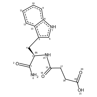 NC(=O)[C@@H](Cc1c[nH]c2ccccc12)NC(=O)CCC(=O)O